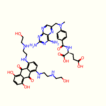 CN(Cc1cnc2nc(N)nc(N)c2n1)c1ccc(C(=O)N[C@@H](CCC(=O)O)C(=O)O)cc1.O=C1c2c(O)ccc(O)c2C(=O)c2c(NCCNCCO)ccc(NCCNCCO)c21